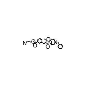 CC(=O)C(=Cc1cccc(C(=O)OCCC#N)c1)C(=O)N1CCCN(Cc2ccccc2)CC1